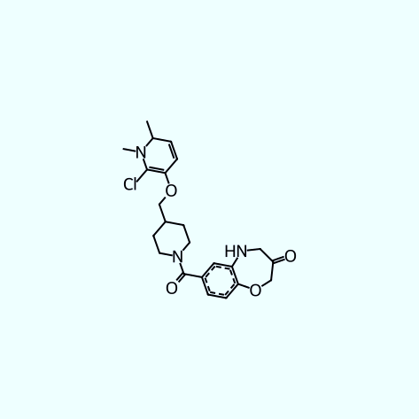 CC1C=CC(OCC2CCN(C(=O)c3ccc4c(c3)NCC(=O)CO4)CC2)=C(Cl)N1C